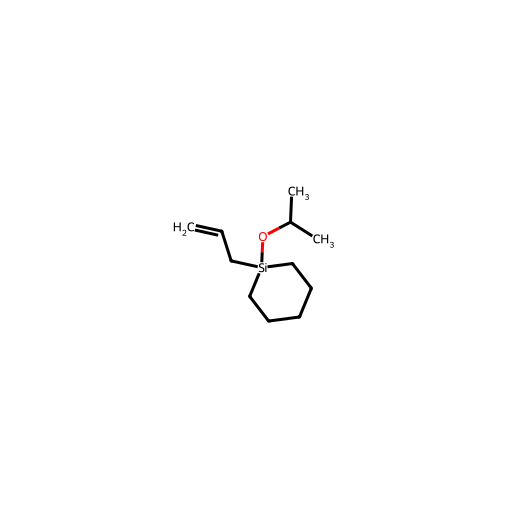 C=CC[Si]1(OC(C)C)CCCCC1